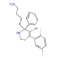 CC(=O)C1=C(c2cc(F)ccc2F)CCNC1(CCCCN)c1ccccc1